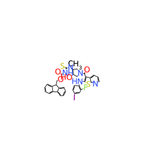 CN(C(=S)NC(=O)OCC1c2ccccc2-c2ccccc21)[C@H]1CN(C(=O)c2c(Nc3ccc(I)cc3F)sc3ncccc23)C[C@@H]1O